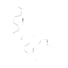 COc1ccc(/C=C/C(=O)c2ccc(C(=O)O)cc2)c(OC)c1-c1ccc(C)s1